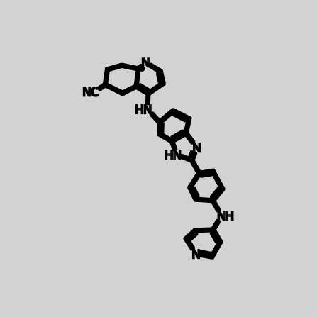 N#CC1CCc2nccc(Nc3ccc4nc(-c5ccc(Nc6ccncc6)cc5)[nH]c4c3)c2C1